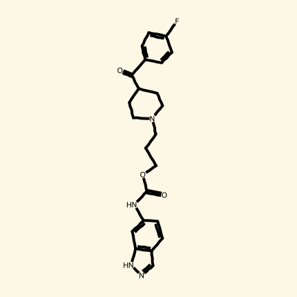 O=C(Nc1ccc2cn[nH]c2c1)OCCCN1CCC(C(=O)c2ccc(F)cc2)CC1